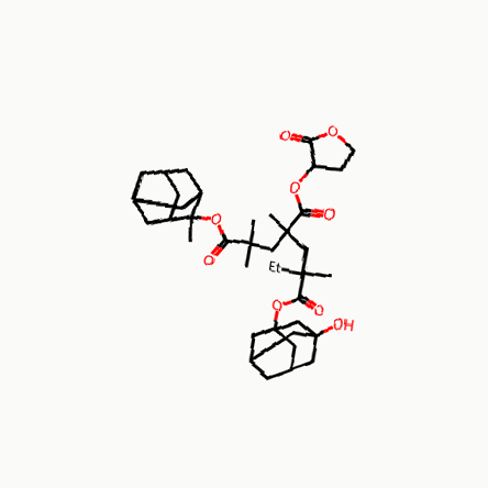 CCC(C)(CC(C)(CC(C)(C)C(=O)OC1(C)C2CC3CC(C2)CC1C3)C(=O)OC1CCOC1=O)C(=O)OC12CC3CC(CC(O)(C3)C1)C2